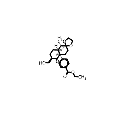 CCOC(=O)c1ccc([C@@]23CCC4(OCCO4)[C@@H](C)[C@@H]2CCC(=CO)C3=O)cc1